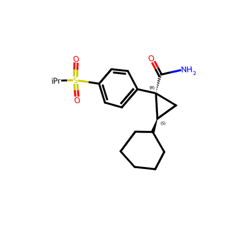 CC(C)S(=O)(=O)c1ccc([C@@]2(C(N)=O)C[C@H]2C2CCCCC2)cc1